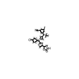 CC(C)(F)[C@@H](c1cc(F)cc(C#N)c1)C1CN([C@@H](c2ccc(Cl)cc2)c2nc(-c3n[nH]c(=O)o3)cs2)C1